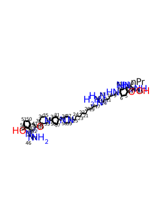 CCCC(Nc1cccc(NCCC/C(N)=C/N(N)CCCCCCCCCN2CCN(c3ccc(N4CCCC(O/C(C)=C/C(=N\N(C)N)c5ccccc5O)C4)cc3)CC2)c1N)C(=O)NO